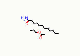 CCCCCCCCCCCC(N)=O.CCCOC(C)=O